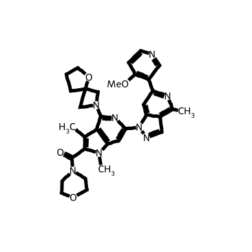 COc1ccncc1-c1cc2c(cnn2-c2cc3c(c(N4CC5(CCCO5)C4)n2)c(C)c(C(=O)N2CCOCC2)n3C)c(C)n1